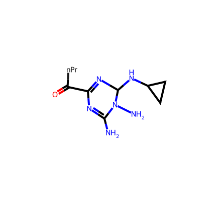 CCCC(=O)C1=NC(NC2CC2)N(N)C(N)=N1